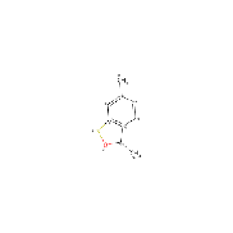 Cc1ccc2c(c1)SOC2C